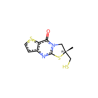 C[C@]1(CS)Cn2c(nc3ccsc3c2=O)S1